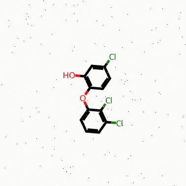 Oc1cc(Cl)ccc1Oc1cccc(Cl)c1Cl